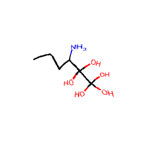 CCCC(N)C(O)(O)C(O)(O)O